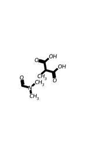 CC(C(=O)O)C(=O)O.CN(C)C=O